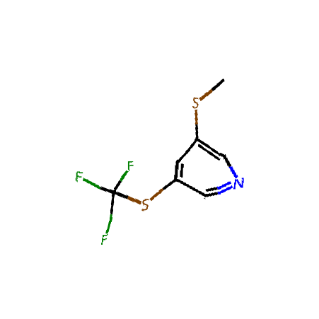 CSc1cn[c]c(SC(F)(F)F)c1